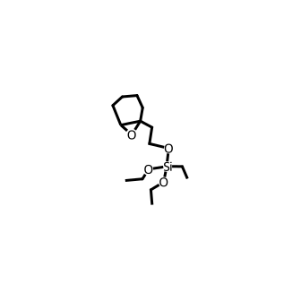 CCO[Si](CC)(OCC)OCCC12CCCCC1O2